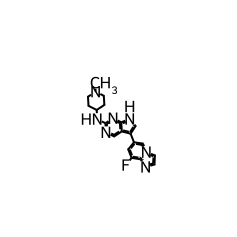 CN1CCC(Nc2ncc3c(-c4cc(F)c5nccn5c4)c[nH]c3n2)CC1